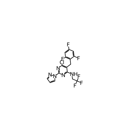 Fc1cc(F)c(Cc2c(Cl)nc(-n3cccn3)nc2NCC(F)(F)F)c(F)c1